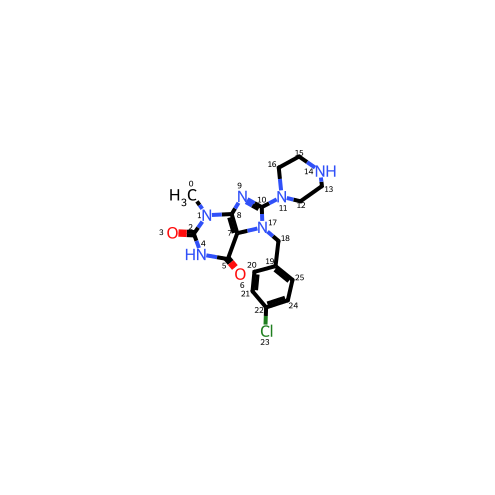 Cn1c(=O)[nH]c(=O)c2c1nc(N1CCNCC1)n2Cc1ccc(Cl)cc1